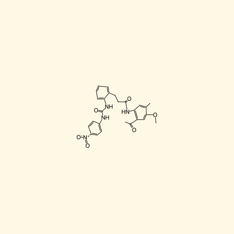 COc1cc(C(C)=O)c(NC(=O)CCc2ccccc2NC(=O)Nc2ccc([N+](=O)[O-])cc2)cc1C